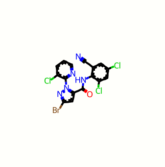 N#Cc1cc(Cl)cc(Cl)c1NC(=O)c1cc(Br)nn1-c1ncccc1Cl